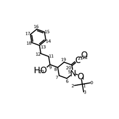 CC(C)(C)ON1CCC(C(O)CCc2ccccc2)CC1=C=O